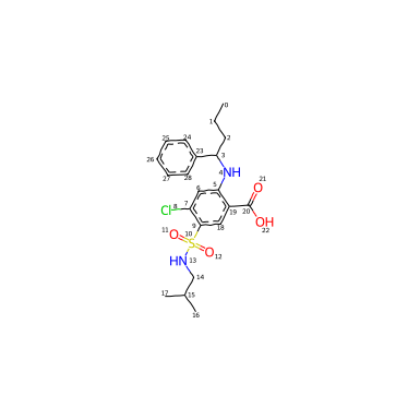 CCCC(Nc1cc(Cl)c(S(=O)(=O)NCC(C)C)cc1C(=O)O)c1ccccc1